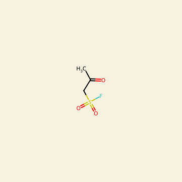 CC(=O)CS(=O)(=O)F